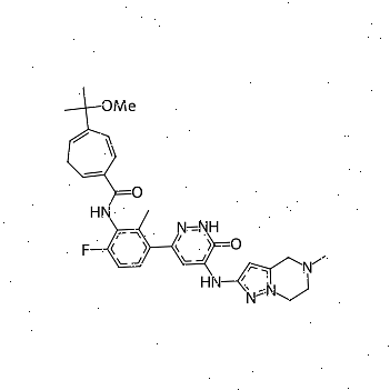 COC(C)(C)C1=CCC=C(C(=O)Nc2c(F)ccc(-c3cc(Nc4cc5n(n4)CCN(C)C5)c(=O)[nH]n3)c2C)C=C1